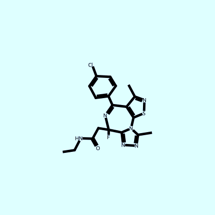 CCNC(=O)CC1(F)N=C(c2ccc(Cl)cc2)c2c(C)nsc2-n2c(C)nnc21